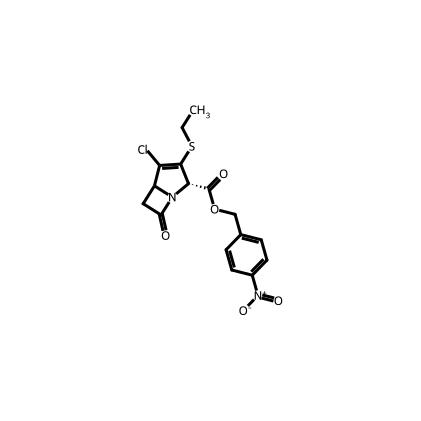 CCSC1=C(Cl)C2CC(=O)N2[C@H]1C(=O)OCc1ccc([N+](=O)[O-])cc1